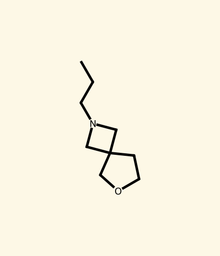 CCCN1CC2(CCOC2)C1